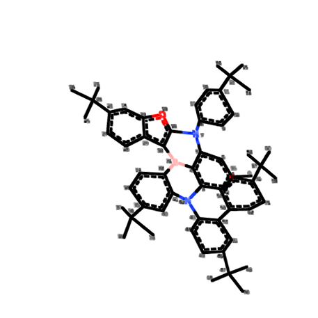 Cc1cc2c3c(c1)N(c1ccc(C(C)(C)C)cc1)c1oc4cc(C(C)(C)C)ccc4c1B3c1ccc(C(C)(C)C)cc1N2c1ccc(C(C)(C)C)cc1-c1ccc(C(C)(C)C)cc1